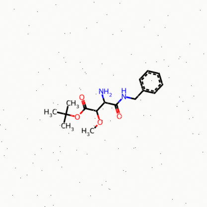 COC(C(=O)OC(C)(C)C)C(N)C(=O)NCc1ccccc1